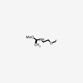 C=C(NCCOF)OC